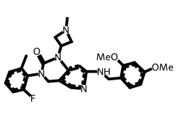 COc1ccc(CNc2cc3c(cn2)CN(c2c(C)cccc2F)C(=O)N3C2CN(C)C2)c(OC)c1